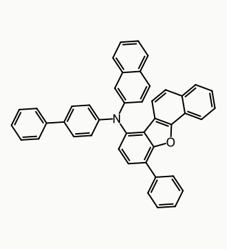 c1ccc(-c2ccc(N(c3ccc4ccccc4c3)c3ccc(-c4ccccc4)c4oc5c6ccccc6ccc5c34)cc2)cc1